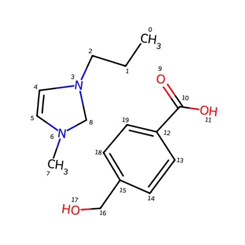 CCCN1C=CN(C)C1.O=C(O)c1ccc(CO)cc1